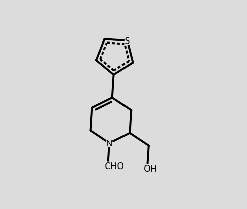 O=CN1CC=C(c2ccsc2)CC1CO